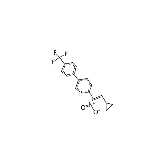 O=[N+]([O-])/C(=C\C1CC1)c1ccc(-c2ccc(C(F)(F)F)cc2)cc1